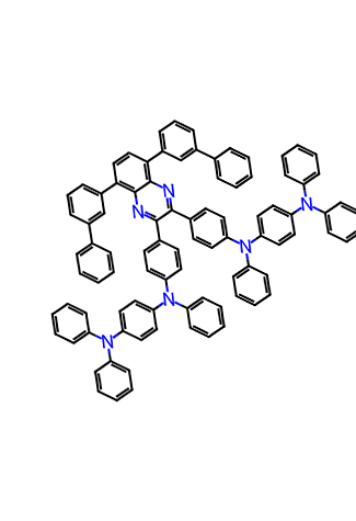 c1ccc(-c2cccc(-c3ccc(-c4cccc(-c5ccccc5)c4)c4nc(-c5ccc(N(c6ccccc6)c6ccc(N(c7ccccc7)c7ccccc7)cc6)cc5)c(-c5ccc(N(c6ccccc6)c6ccc(N(c7ccccc7)c7ccccc7)cc6)cc5)nc34)c2)cc1